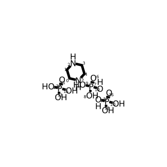 C1CNCCN1.O=P(O)(O)O.O=P(O)(O)O.O=P(O)(O)O